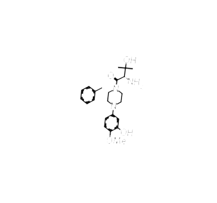 COc1ccc(N2CCN(C(=O)[C@H](N)C(C)(C)O)[C@@H](Cc3ccccc3)C2)cc1O